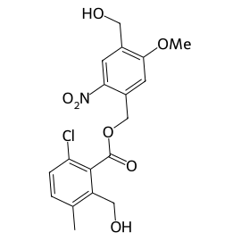 COc1cc(COC(=O)c2c(Cl)ccc(C)c2CO)c([N+](=O)[O-])cc1CO